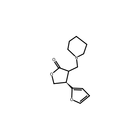 O=C1OC[C@H](c2ccco2)C1CN1CCCCC1